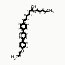 C=CCOc1ccc(-c2ccc(-c3ccc(C=CCCCC(C)OCCCCC)cc3)nn2)cc1